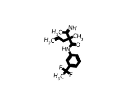 C=CCC(C)(C(C)=N)C(=O)Nc1cccc(C(C)(F)F)c1